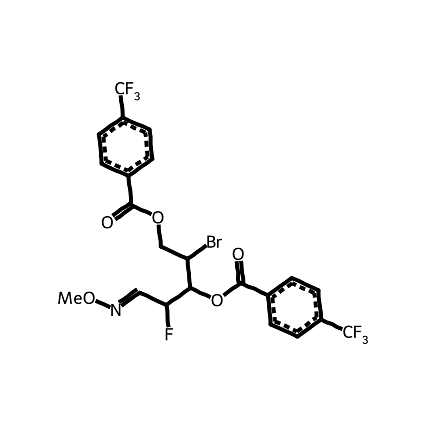 CON=CC(F)C(OC(=O)c1ccc(C(F)(F)F)cc1)C(Br)COC(=O)c1ccc(C(F)(F)F)cc1